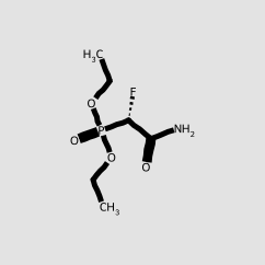 CCOP(=O)(OCC)[C@H](F)C(N)=O